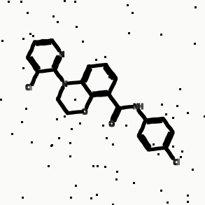 O=C(Nc1ccc(Cl)cc1)c1cccc2c1OCCN2c1ncccc1Cl